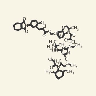 CC1COc2ccccc2N1C(=O)C(Cl)Cl.CCNc1nc(Cl)nc(NC(C)(C)C)n1.CCOC(=O)/C(Cl)=C/c1cc(N2C(=O)C3=C(CCCC3)C2=O)ccc1Cl.CCc1cccc(C)c1N(C(=O)CCl)C(C)COC